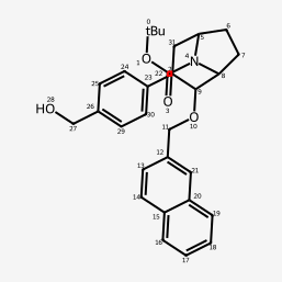 CC(C)(C)OC(=O)N1C2CCC1C(OCc1ccc3ccccc3c1)C(c1ccc(CO)cc1)C2